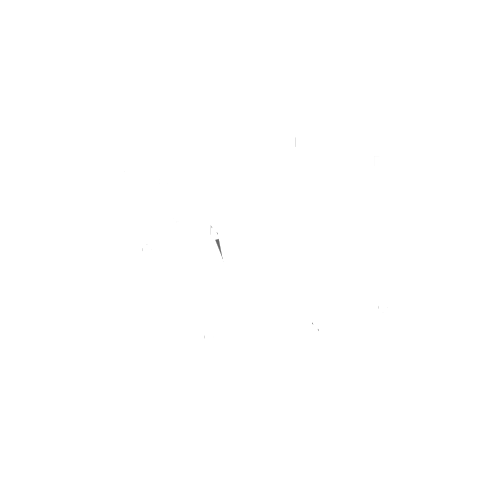 COc1nc2c(c3cc(F)c(F)cc13)[C@H](N(C)C(=O)OC(C)(C)C)COC2